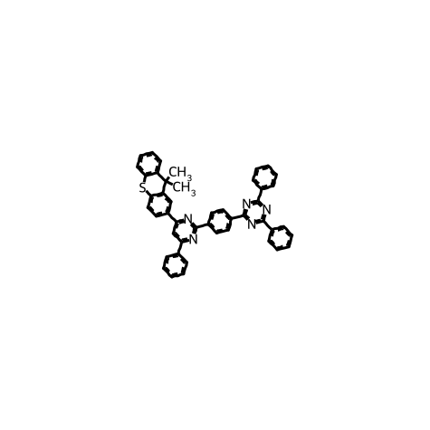 CC1(C)c2ccccc2Sc2ccc(-c3cc(-c4ccccc4)nc(-c4ccc(-c5nc(-c6ccccc6)nc(-c6ccccc6)n5)cc4)n3)cc21